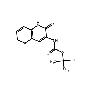 CC(C)(C)OC(=O)Nc1cc2c([nH]c1=O)C=CCC2